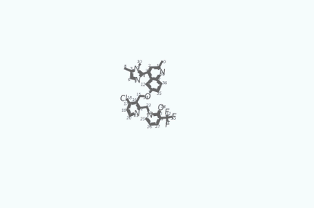 Cc1cc(-c2ncc(C)n2C)c2cc(OCc3c(Cl)ccnc3Cn3cccc(C(F)(F)F)c3=O)ccc2n1